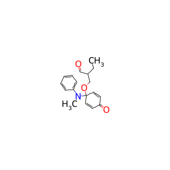 CCC(C=O)COC1(N(C)c2ccccc2)C=CC(=O)C=C1